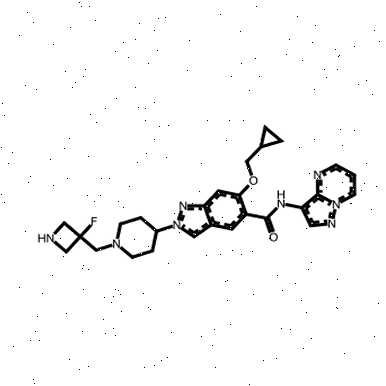 O=C(Nc1cnn2cccnc12)c1cc2cn(C3CCN(CC4(F)CNC4)CC3)nc2cc1OCC1CC1